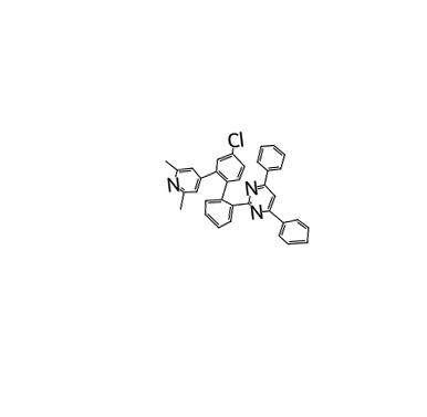 Cc1cc(-c2cc(Cl)ccc2-c2ccccc2-c2nc(-c3ccccc3)cc(-c3ccccc3)n2)cc(C)n1